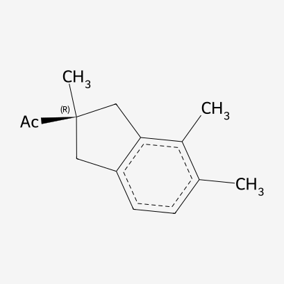 CC(=O)[C@]1(C)Cc2ccc(C)c(C)c2C1